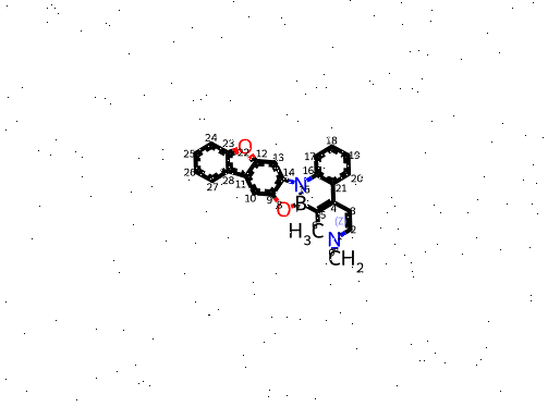 C=N/C=C\C1=C(C)B2Oc3cc4c(cc3N2c2ccccc21)oc1ccccc14